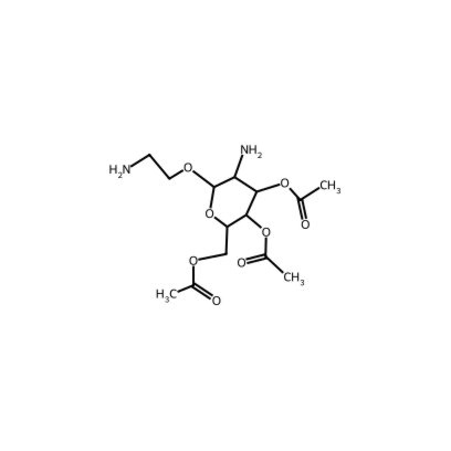 CC(=O)OCC1OC(OCCN)C(N)C(OC(C)=O)C1OC(C)=O